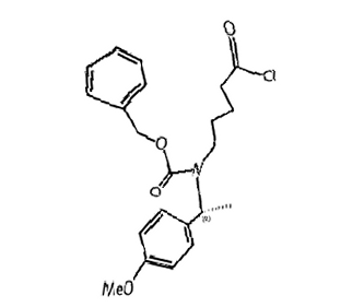 COc1ccc([C@@H](C)N(CCCCC(=O)Cl)C(=O)OCc2ccccc2)cc1